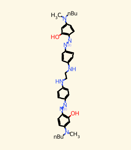 CCCCN(C)c1ccc(/N=N/c2ccc(NCCNc3ccc(/N=N/c4ccc(N(C)CCCC)cc4O)cc3)cc2)c(O)c1